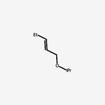 CCC=CCOC(C)C